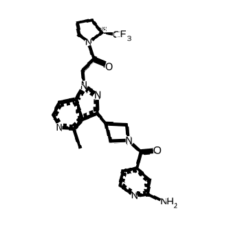 Cc1nccc2c1c(C1CN(C(=O)c3ccnc(N)c3)C1)nn2CC(=O)N1CCC[C@H]1C(F)(F)F